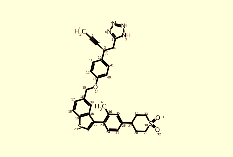 CC#C[C@@H](Cc1nnn[nH]1)c1ccc(OCc2ccc3scc(-c4ccc(C5CCS(=O)(=O)CC5)cc4C)c3c2)cc1